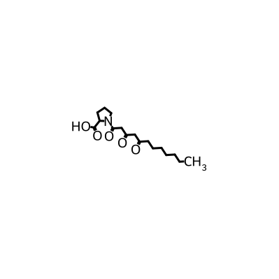 CCCCCCCC(=O)CC(=O)CC(=O)N1CCCC1C(=O)O